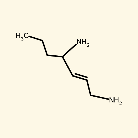 CCCC(N)C=CCN